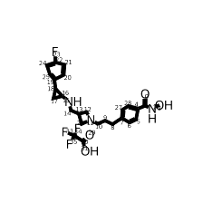 O=C(NO)c1ccc(CCCN2CC(CNC3CC3c3ccc(F)cc3)C2)cc1.O=C(O)C(F)(F)F